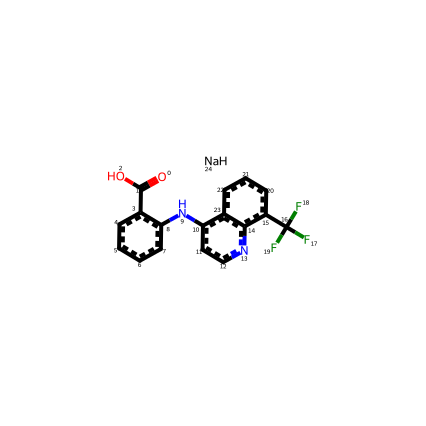 O=C(O)c1ccccc1Nc1ccnc2c(C(F)(F)F)cccc12.[NaH]